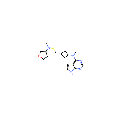 CN(SC[C@H]1C[C@@H](N(C)c2ncnc3[nH]ccc23)C1)C1CCOC1